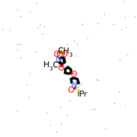 Cc1nc(S(C)(=O)=O)ccc1O[C@H]1CC[C@H](OC2CCN(C(=O)SC(C)C)CC2)CC1